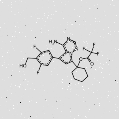 Nc1ncnn2c(C3(OC(=O)C(F)(F)F)CCCCC3)cc(-c3cc(F)c(CO)c(F)c3)c12